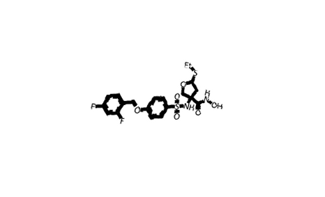 CCSC1CC(NS(=O)(=O)c2ccc(OCc3ccc(F)cc3F)cc2)(C(=O)NO)CO1